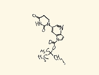 CC(C)(C)OC(=O)n1ccc2ncc(N3CCC(=O)NC3=O)cc21